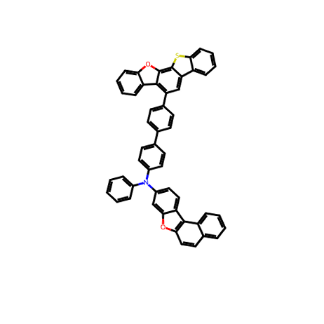 c1ccc(N(c2ccc(-c3ccc(-c4cc5c6ccccc6sc5c5oc6ccccc6c45)cc3)cc2)c2ccc3c(c2)oc2ccc4ccccc4c23)cc1